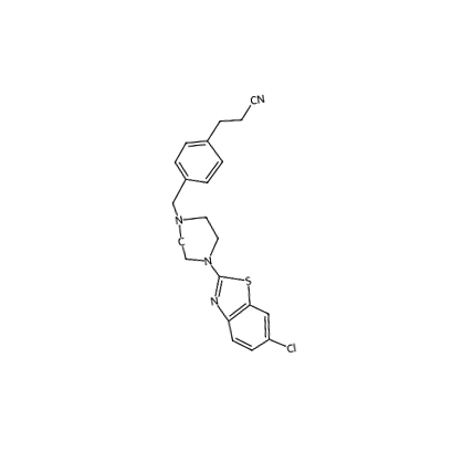 N#CCCc1ccc(CN2CCN(c3nc4ccc(Cl)cc4s3)CC2)cc1